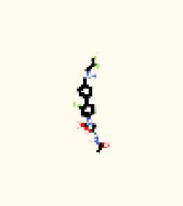 CC(=O)NC[C@H]1CN(c2ccc(-c3ccc(CNCC(F)CF)cc3)c(F)c2)C(=O)O1